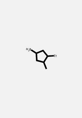 BC1CC(C)C(CC)C1